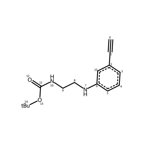 C#Cc1cccc(NCCNC(=O)OC(C)(C)C)c1